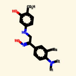 CCN(CC)c1ccc(C(CNc2ccc(C(=O)O)c(O)c2)=NO)cc1C(C)(C)C